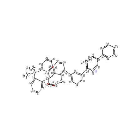 CC1(C)c2ccccc2C2(c3ccccc3Sc3c(-c4cccc(C(=N)/C=C\C(=N)c5ccccc5)c4)cccc32)c2ccccc21